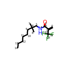 C=C(C(=O)NCC(C)(C)CCCCCC)C(F)(F)F